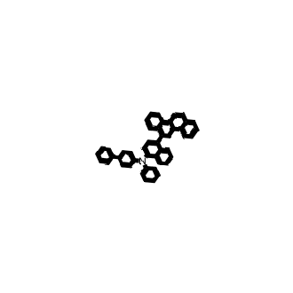 c1ccc(-c2ccc(N(c3ccccc3)c3ccc(-c4cc5c6ccccc6ccc5c5ccccc45)c4ccccc34)cc2)cc1